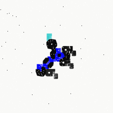 Cc1ccc(C)n1-c1nc(-c2ccc(F)cc2)cc(N2CCN(c3ncccc3C(F)(F)F)CC2)n1